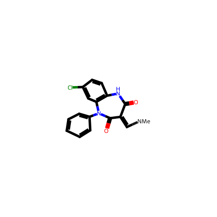 CN/C=C1\C(=O)Nc2ccc(Cl)cc2N(c2ccccc2)C1=O